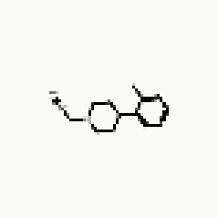 [C-]#[N+]CN1CCC(c2ccccc2C)CC1